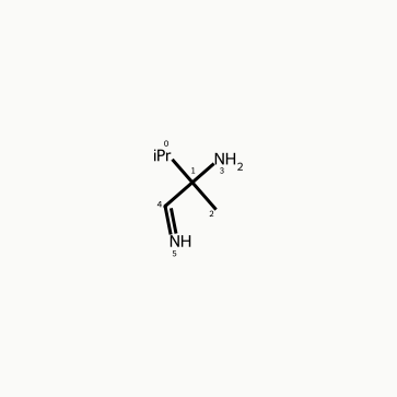 CC(C)C(C)(N)C=N